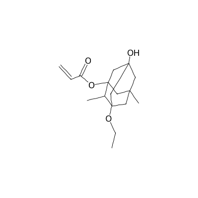 C=CC(=O)OC12CC3(C)CC(O)(CC(OCC)(C3)C1C)C2